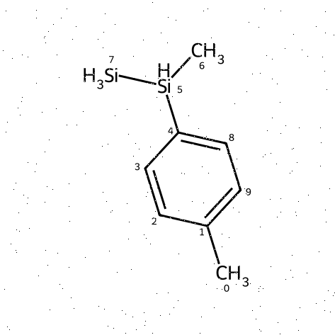 Cc1ccc([SiH](C)[SiH3])cc1